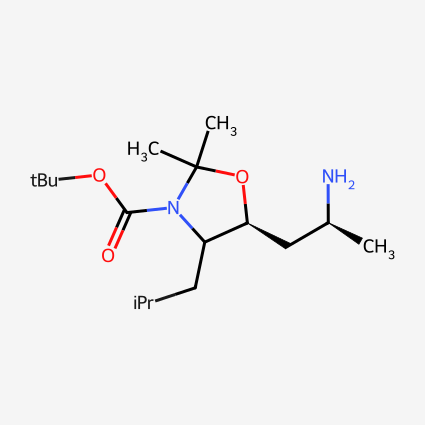 CC(C)CC1[C@H](C[C@H](C)N)OC(C)(C)N1C(=O)OC(C)(C)C